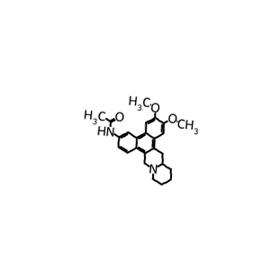 COc1cc2c3c(c4ccc(NC(C)=O)cc4c2cc1OC)CN1CCCCC1C3